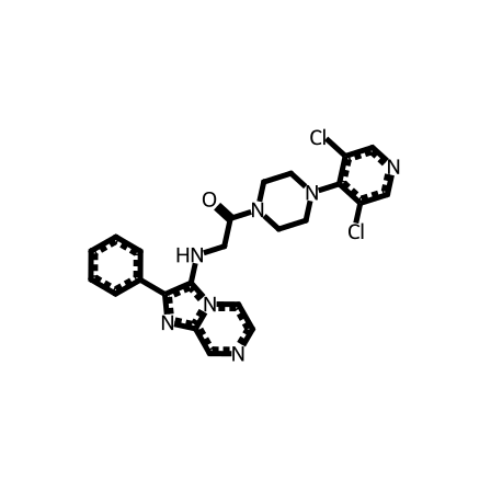 O=C(CNc1c(-c2ccccc2)nc2cnccn12)N1CCN(c2c(Cl)cncc2Cl)CC1